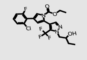 CCOC(=O)n1cc(-c2c(F)cccc2Cl)cc1-c1cnn(CC(O)CC)c1C(F)(F)F